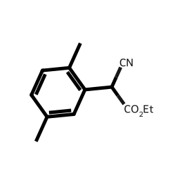 CCOC(=O)C(C#N)c1cc(C)ccc1C